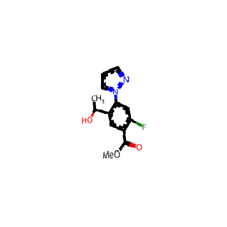 COC(=O)c1cc(C(C)O)c(-n2cccn2)cc1F